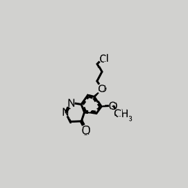 COc1cc2c(cc1OCCCCl)N=NCC2=O